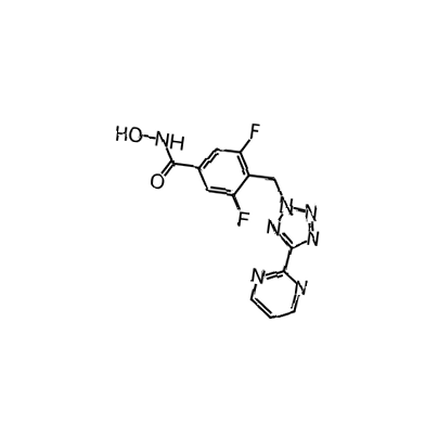 O=C(NO)c1cc(F)c(Cn2nnc(-c3ncccn3)n2)c(F)c1